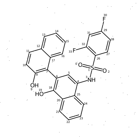 O=S(=O)(Nc1cc(-c2c(O)ccc3ccccc23)c(O)c2ccccc12)c1ccc(F)cc1F